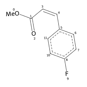 COC(=O)/C=C\c1ccc(F)cc1